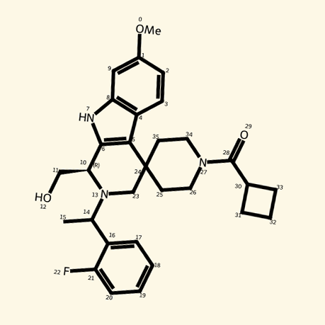 COc1ccc2c3c([nH]c2c1)[C@H](CO)N(C(C)c1ccccc1F)CC31CCN(C(=O)C2CCC2)CC1